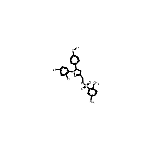 CCOc1ccc(C2CC(CNS(=O)(=O)c3cc([N+](=O)[O-])ccc3C)=NN2c2ccc(Cl)cc2Cl)cc1